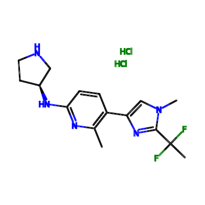 Cc1nc(N[C@H]2CCNC2)ccc1-c1cn(C)c(C(C)(F)F)n1.Cl.Cl